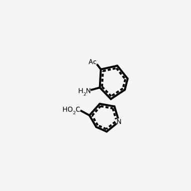 CC(=O)c1ccccc1N.O=C(O)c1ccncc1